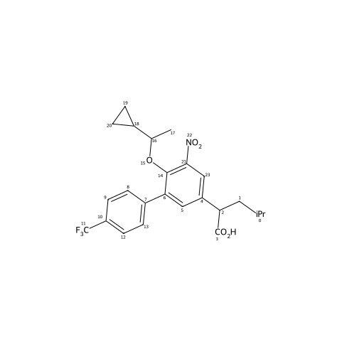 CC(C)CC(C(=O)O)c1cc(-c2ccc(C(F)(F)F)cc2)c(OC(C)C2CC2)c([N+](=O)[O-])c1